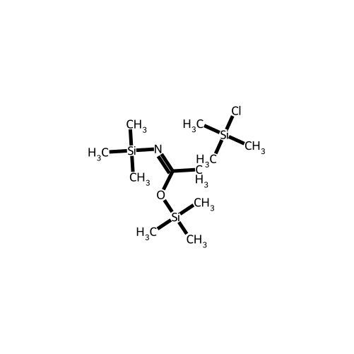 CC(=N[Si](C)(C)C)O[Si](C)(C)C.C[Si](C)(C)Cl